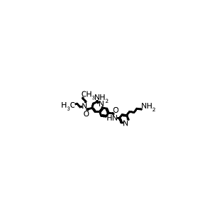 CCCN(CCC)C(=O)C1=Cc2ccc(C(=O)Nc3cncc(CCCCN)c3)cc2N=C(N)C1